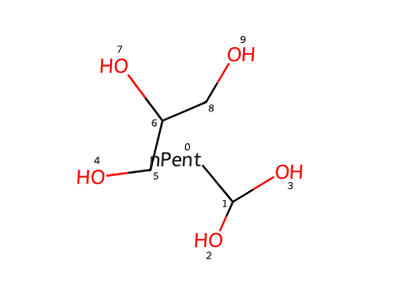 CCCCCC(O)O.OCC(O)CO